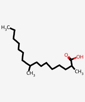 CCCCCCCC(C)CCCCCCC(C)C(=O)O